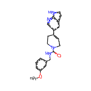 CCCOc1cccc(CNC(=O)N2CC=C(c3cnc4[nH]ccc4c3)CC2)c1